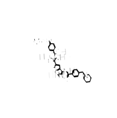 COc1ccc(C(C)(C)NC(=O)c2cc3c(NC(=O)c4ccc(CN5CCCCC5)cc4)n[nH]c3s2)cc1